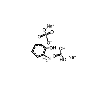 Nc1ccccc1O.O=S(=O)([O-])[O-].O=S(O)O.[Na+].[Na+]